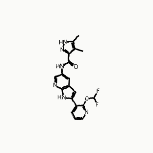 Cc1[nH]nc(C(=O)Nc2cnc3[nH]c(-c4cccnc4OC(F)F)cc3c2)c1C